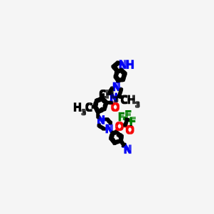 Cc1cc(C)c(C(=O)N2CCN(c3ccc4[nH]ccc4c3)CC2C)cc1CN1CCN(c2ccc(C#N)cc2OC(=O)C(F)(F)F)CC1